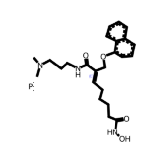 CN(C)CCCNC(=O)/C(=C/CCCCC(=O)NO)COc1cccc2ccccc12.[P]